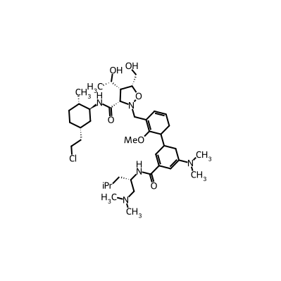 COC1=C(CN2O[C@@H](CO)[C@@H]([C@H](C)O)[C@H]2C(=O)N[C@H]2C[C@H](CCCl)CC[C@@H]2C)C=CCC1C1C=C(C(=O)N[C@@H](CC(C)C)CN(C)C)C=C(N(C)C)C1